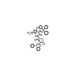 Nc1nc(/C(=N/OC(c2ccccc2)(c2ccccc2)c2ccccc2)C(=O)N[C@@H]2C(=O)N3C(C(=O)OC(c4ccccc4)c4ccccc4)=C(Cl)CCC23)c(Cl)s1